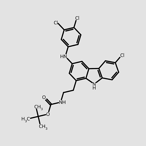 CC(C)(C)OC(=O)NCCc1cc(Nc2ccc(Cl)c(Cl)c2)cc2c1[nH]c1ccc(Cl)cc12